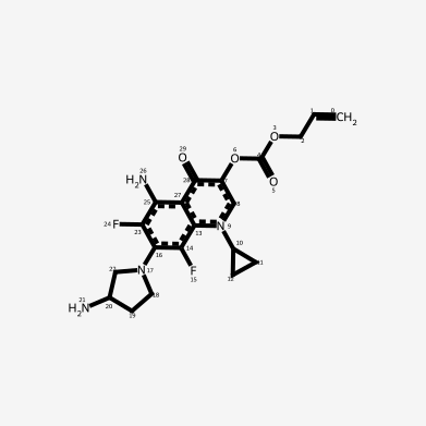 C=CCOC(=O)Oc1cn(C2CC2)c2c(F)c(N3CCC(N)C3)c(F)c(N)c2c1=O